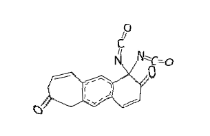 O=C=NC1(N=C=O)C(=O)C=Cc2cc3c(cc21)C=CC(=O)C3